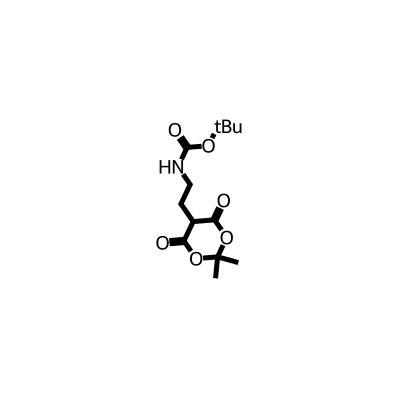 CC(C)(C)OC(=O)NCCC1C(=O)OC(C)(C)OC1=O